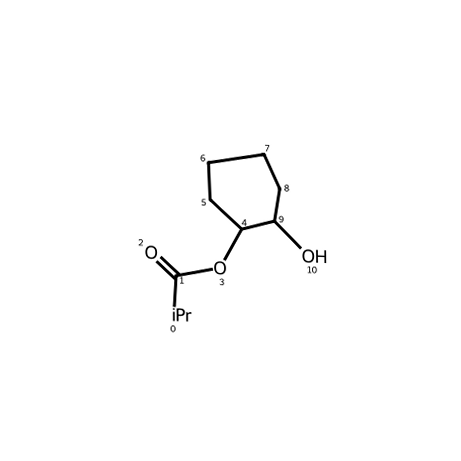 CC(C)C(=O)OC1CCCCC1O